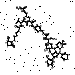 CC(C)C(NC(=O)CCCCCN1C(=O)C=CC1=O)C(=O)N[C@@H](CCCNC(N)=O)C(=O)Nc1ccc(COC(=O)N[C@H](CF)CCN(C(=O)[C@H](C)O)[C@@H](c2nc(-c3cc(F)ccc3F)cn2Cc2ccccc2)C2CCS(=O)(=O)CC2)cc1